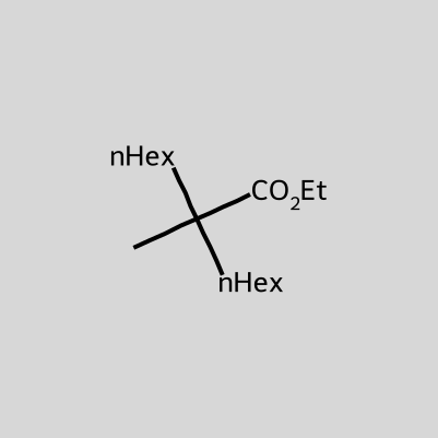 CCCCCCC(C)(CCCCCC)C(=O)OCC